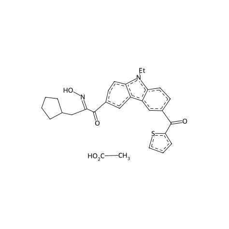 CC(=O)O.CCn1c2ccc(C(=O)C(CC3CCCC3)=NO)cc2c2cc(C(=O)c3cccs3)ccc21